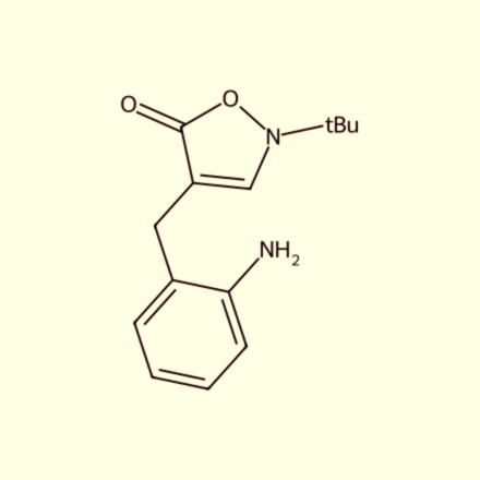 CC(C)(C)n1cc(Cc2ccccc2N)c(=O)o1